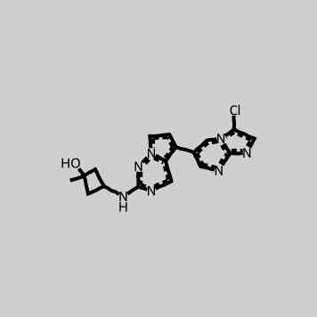 CC1(O)CC(Nc2ncc3c(-c4cnc5ncc(Cl)n5c4)ccn3n2)C1